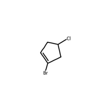 ClC1CC=C(Br)C1